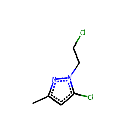 Cc1cc(Cl)n(CCCl)n1